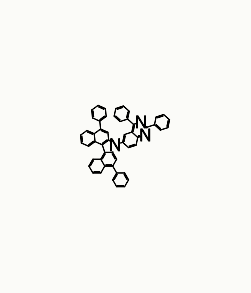 c1ccc(-c2nc(-c3ccccc3)c3cc(-n4c5cc(-c6ccccc6)c6ccccc6c5c5c6ccccc6c(-c6ccccc6)cc54)ccc3n2)cc1